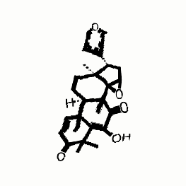 CC1(C)C(=O)C=CC2(C)C1=C(O)C(=O)C1(C)[C@@H]2CC[C@@]2(C)[C@H](c3ccoc3)CC3OC312